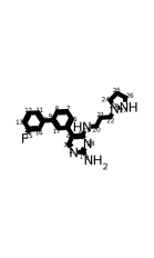 Nc1ncc(-c2cccc(-c3cccc(F)c3)c2)c(NCCCN2CCCN2)n1